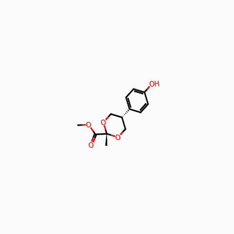 COC(=O)[C@]1(C)OC[C@H](c2ccc(O)cc2)CO1